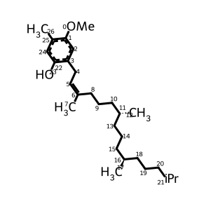 COc1cc(CC=C(C)CCC[C@H](C)CCC[C@H](C)CCCC(C)C)c(O)cc1C